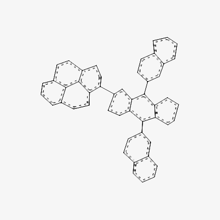 c1ccc2cc(-c3c4ccccc4c(-c4ccc5ccccc5c4)c4cc(-c5ccc6ccc7cccc8ccc5c6c78)ccc34)ccc2c1